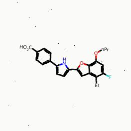 CCCOc1cc(F)c(CC)c2cc(-c3ccc(-c4ccc(C(=O)O)cc4)[nH]3)oc12